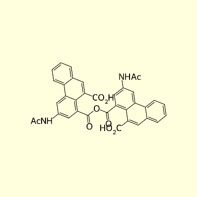 CC(=O)Nc1cc(C(=O)OC(=O)c2cc(NC(C)=O)cc3c2c(C(=O)O)cc2ccccc23)c2c(C(=O)O)cc3ccccc3c2c1